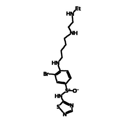 CCNCCNCCCCNc1ccc([S+]([O-])Nc2ncns2)cc1Br